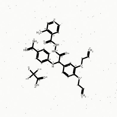 C=CCOc1ccc(C(Nc2ccc(C(=N)N)cc2)C(=O)NNC(=O)c2ccncc2C)cc1OCC=C.O=C(O)C(F)(F)F